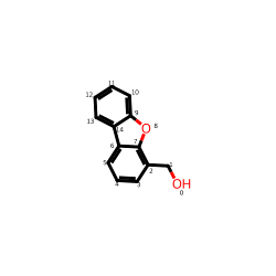 OCc1cccc2c1oc1ccccc12